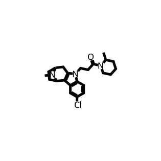 CC1CCCCN1C(=O)CCn1c2c(c3cc(Cl)ccc31)C1CCC(C2)N1C